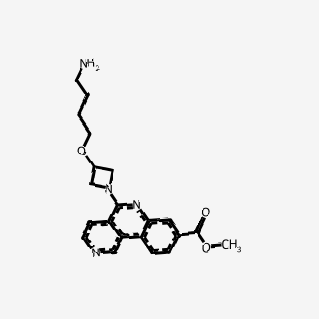 COC(=O)c1ccc2c(c1)nc(N1CC(OCCCCN)C1)c1ccncc12